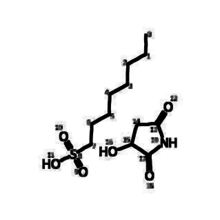 CCCCCCCCS(=O)(=O)O.O=C1CC(O)C(=O)N1